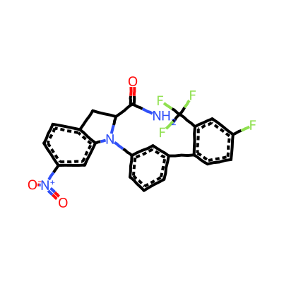 NC(=O)C1Cc2ccc([N+](=O)[O-])cc2N1c1cccc(-c2ccc(F)cc2C(F)(F)F)c1